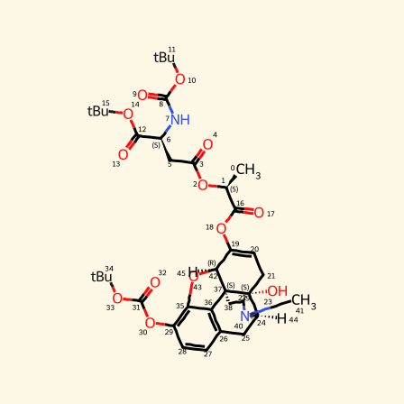 C[C@H](OC(=O)C[C@H](NC(=O)OC(C)(C)C)C(=O)OC(C)(C)C)C(=O)OC1=CC[C@@]2(O)[C@H]3Cc4ccc(OC(=O)OC(C)(C)C)c5c4[C@@]2(CCN3C)[C@H]1O5